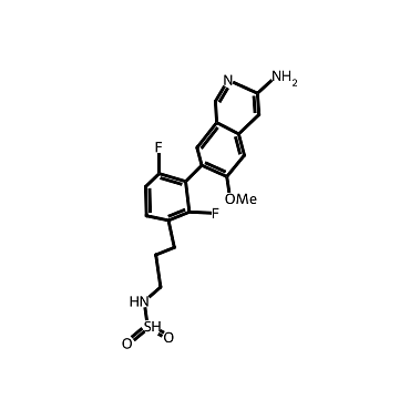 COc1cc2cc(N)ncc2cc1-c1c(F)ccc(CCCN[SH](=O)=O)c1F